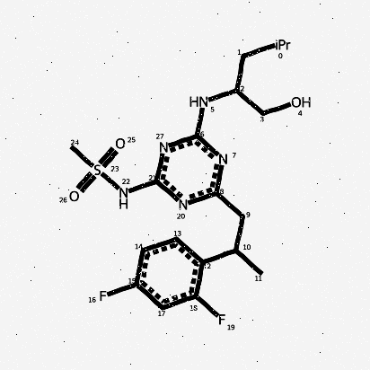 CC(C)CC(CO)Nc1nc(CC(C)c2ccc(F)cc2F)nc(NS(C)(=O)=O)n1